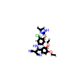 CCOc1cc2ncc(C#N)c(Nc3ccc(Sc4nc(C)c[nH]4)c(Cl)c3)c2cc1OCC